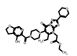 CCOC(=O)Cn1c(CC)c(N2CCN(C(=O)c3ncc4c(c3O)CCO4)CC2)c(=O)n2nc(C3=CCOCC3)nc12